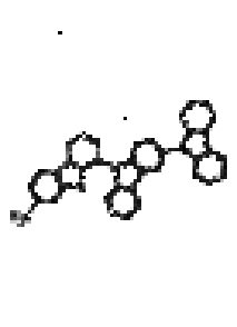 Cc1ccc2c(c1)sc1c(-n3c4ccccc4c4cc(-n5c6ccccc6c6ccccc65)ccc43)cccc12